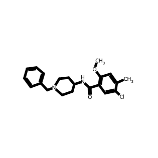 COc1cc(C)c(Cl)cc1C(=O)NC1CCN(Cc2ccccc2)CC1